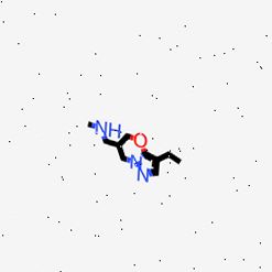 CCc1cnn2c1OCC(CNC)C2